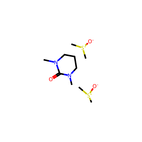 CN1CCCN(C)C1=O.C[S+](C)[O-].C[S+](C)[O-]